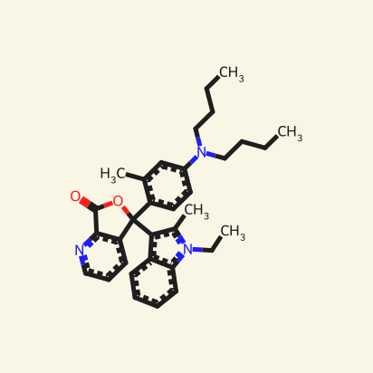 CCCCN(CCCC)c1ccc(C2(c3c(C)n(CC)c4ccccc34)OC(=O)c3ncccc32)c(C)c1